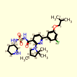 CC(C)COc1cc(F)cc(-c2ccc(C(=O)NS(=O)(=O)N[C@H]3CCCNC3)c(N3C[C@@H](C)CC3(C)C)n2)c1